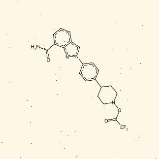 NC(=O)c1cccc2cn(-c3ccc(C4CCN(OC(=O)C(F)(F)F)CC4)cc3)nc12